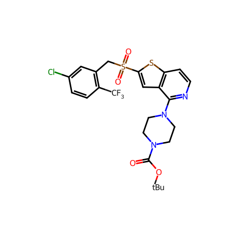 CC(C)(C)OC(=O)N1CCN(c2nccc3sc(S(=O)(=O)Cc4cc(Cl)ccc4C(F)(F)F)cc23)CC1